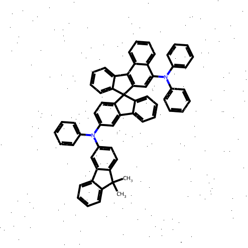 CC1(C)c2ccccc2-c2cc(N(c3ccccc3)c3ccc4c(c3)-c3ccccc3C43c4ccccc4-c4c3cc(N(c3ccccc3)c3ccccc3)c3ccccc43)ccc21